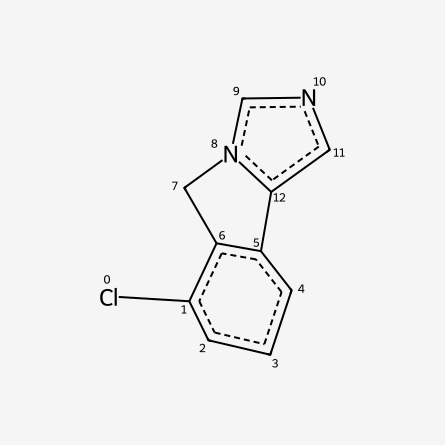 Clc1cccc2c1Cn1cncc1-2